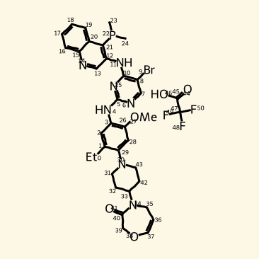 CCc1cc(Nc2ncc(Br)c(Nc3cnc4ccccc4c3P(C)C)n2)c(OC)cc1N1CCC(N2CC=COCC2=O)CC1.O=C(O)C(F)(F)F